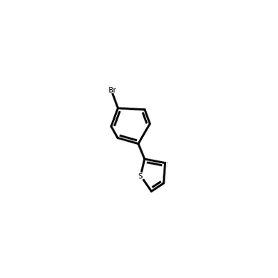 Brc1ccc(-c2[c]ccs2)cc1